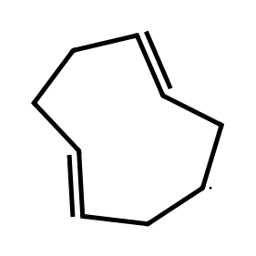 [CH]1C/C=C/CC/C=C/C1